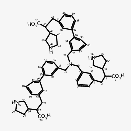 O=C(O)C(Cc1cccc(CN(Cc2cccc(-c3cccc(CC(C(=O)O)C4CCNC4)c3)c2)Cc2cccc(-c3cccc(CC(C(=O)O)C4CCNC4)c3)c2)c1)C1CCNC1